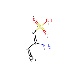 C=CC(N)=CS(=O)(=O)O